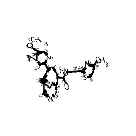 COc1cnc(-c2cc(C(=O)Nc3nc(C)cs3)c3nncn3c2)cn1